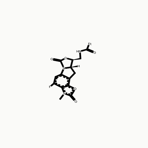 CCC(=O)NC[C@@H]1OC(=O)N2c3cc(F)c4c(oc(=O)n4C)c3C[C@@H]12